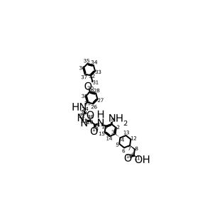 Nc1cc([C@H]2CC[C@H](CC(=O)O)CC2)ccc1NC(=O)c1nnc(Nc2cccc(OCc3ccccc3)c2)o1